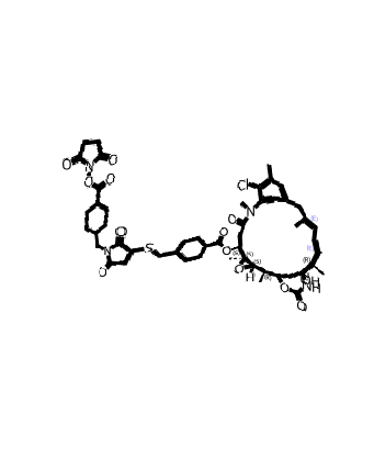 C/C1=C\C=C\[C@@H](C)[C@@]2(O)CC(OC(=O)N2)[C@@H](C)[C@@H]2O[C@@]2(C)[C@@H](OC(=O)C2CCC(CSC3CC(=O)N(CC4CCC(C(=O)ON5C(=O)CCC5=O)CC4)C3=O)CC2)CC(=O)N(C)c2cc(cc(C)c2Cl)C1